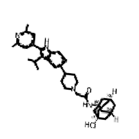 Cc1cc(-c2[nH]c3ccc(C4CCN(CC(=O)N[C@@]56C[C@@H]7C[C@@H](C[C@@](O)(C7)C5)C6)CC4)cc3c2C(C)C)cc(C)n1